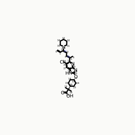 C=C/C(=C\C=C(/C)c1nc2nc(O[C@H]3CC[C@H](C(C)(C)C(=O)O)CC3)[nH]c2cc1Cl)N1CCCCC1